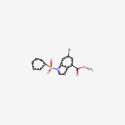 COC(=O)c1cc(Br)cc2c1ccn2S(=O)(=O)c1ccccc1